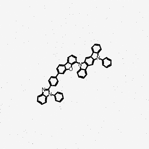 c1ccc(-n2c(-c3ccc(-c4ccc5c(c4)oc4c(-n6c7ccccc7c7cc8c(cc76)c6ccccc6n8-c6ccccc6)cccc45)cc3)nc3ccccc32)cc1